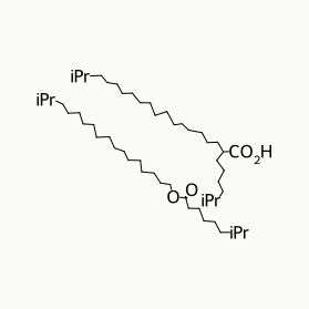 CC(C)CCCCCCCCCCCCCCCC(CCCCC(C)C)C(=O)O.CC(C)CCCCCCCCCCCCCCCOC(=O)CCCCCC(C)C